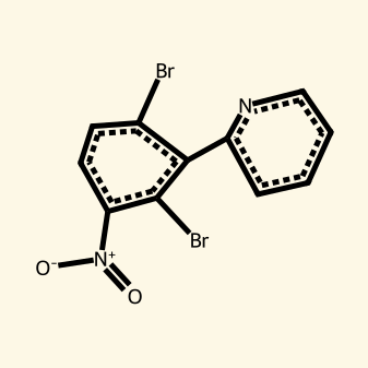 O=[N+]([O-])c1ccc(Br)c(-c2ccccn2)c1Br